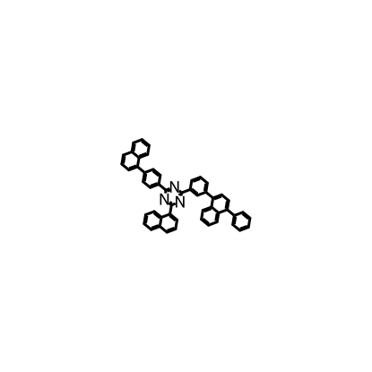 c1ccc(-c2ccc(-c3cccc(-c4nc(-c5ccc(-c6cccc7ccccc67)cc5)nc(-c5cccc6ccccc56)n4)c3)c3ccccc23)cc1